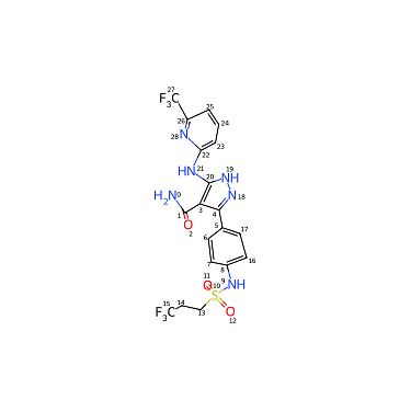 NC(=O)c1c(-c2ccc(NS(=O)(=O)CCC(F)(F)F)cc2)n[nH]c1Nc1cccc(C(F)(F)F)n1